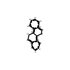 C1=c2ccccc2=C2CC=c3ccccc3=C2C1